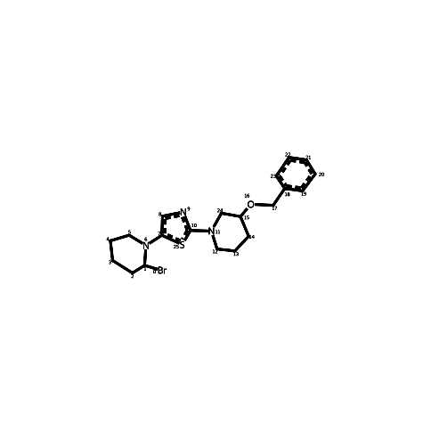 BrC1CCCCN1c1cnc(N2CCCC(OCc3ccccc3)C2)s1